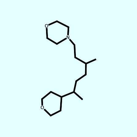 CC(CCC(C)C1CCOCC1)CCN1CCOCC1